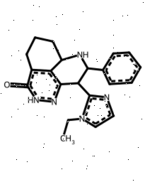 CCn1ccnc1C1c2n[nH]c(=O)c3c2C(CCC3)NC1c1ccccc1